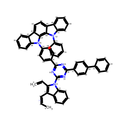 C=Cc1c(/C=C\C)c2ccccc2n1-c1nc(-c2ccc(-c3ccccc3)cc2)nc(-c2ccc(-n3c4ccccc4c4ccc5c6ccccc6n(-c6ccccc6)c5c43)cc2)n1